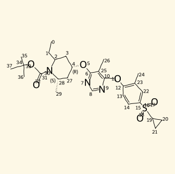 CCC1C[C@H](Oc2ncnc(Oc3ccc(S(=O)(=O)C4CC4)cc3C)c2C)C[C@H](C)N1C(=O)OC(C)(C)C